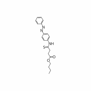 CCCCOC(=O)CCC(=S)Nc1ccc(N=Nc2ccccc2)cc1